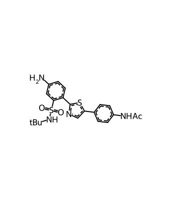 CC(=O)Nc1ccc(-c2cnc(-c3ccc(N)cc3S(=O)(=O)NC(C)(C)C)s2)cc1